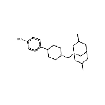 CC1CC2CC(C)CC(CN3CCC(c4ccc(O)cc4)CC3)(C1)C2